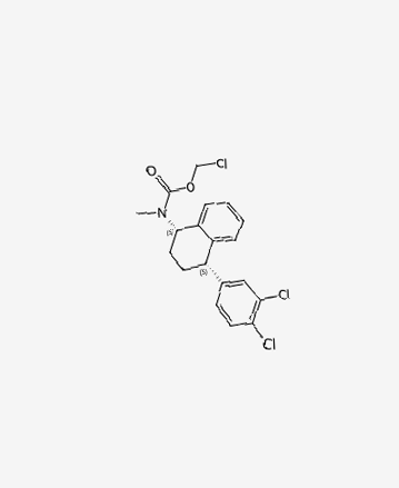 CN(C(=O)OCCl)[C@H]1CC[C@@H](c2ccc(Cl)c(Cl)c2)c2ccccc21